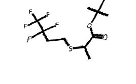 CC(SCCC(F)(F)C(F)(F)F)C(=O)OC(C)(C)C